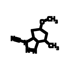 COC1CC(C)C2N=NN(C#N)C2C1